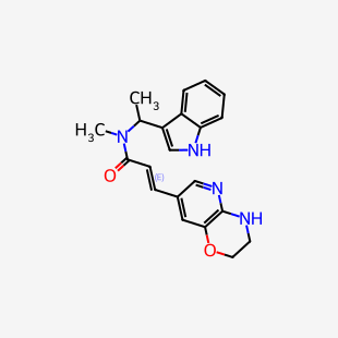 CC(c1c[nH]c2ccccc12)N(C)C(=O)/C=C/c1cnc2c(c1)OCCN2